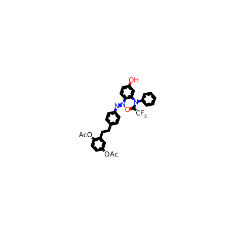 CC(=O)Oc1ccc(OC(C)=O)c(CCc2ccc(N=Nc3ccc(O)cc3N(C(=O)C(F)(F)F)c3ccccc3)cc2)c1